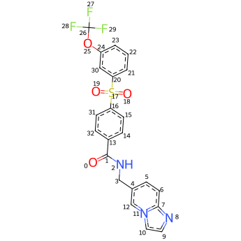 O=C(NCc1ccc2nccn2c1)c1ccc(S(=O)(=O)c2cccc(OC(F)(F)F)c2)cc1